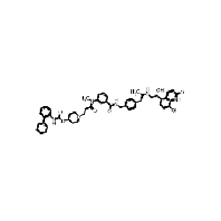 CC(Cc1ccc(CNC(=O)c2cccc(N(C)C(=O)CCN3CCC(OC(=O)Nc4ccccc4-c4ccccc4)CC3)c2)cc1)NC[C@H](O)c1ccc(O)c2[nH]c(=O)ccc12